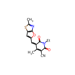 CCN1C(=O)C(C#N)=C(C)/C(=C/c2cc3sc(C)nc3o2)C1=O